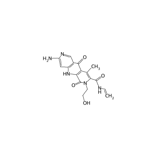 C=CNC(=O)c1c(C)c2c(=O)c3cnc(N)cc3[nH]c2c(=O)n1CCO